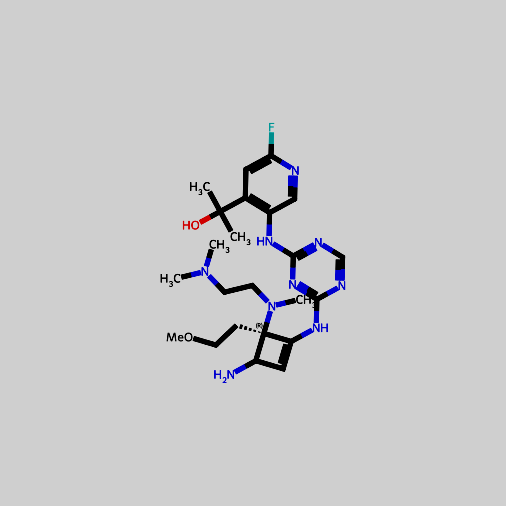 COCC[C@]1(N(C)CCN(C)C)C(Nc2ncnc(Nc3cnc(F)cc3C(C)(C)O)n2)=CC1N